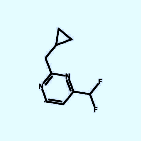 FC(F)c1c[c]nc(CC2CC2)n1